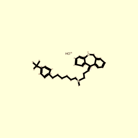 CN(CC/C=C1/c2ccccc2COc2ccccc21)CCCCCCc1ccc(C(C)(C)C)cc1.Cl